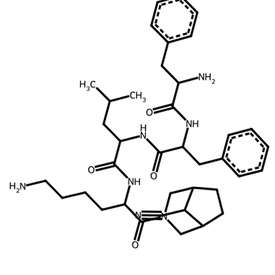 CC(C)CC(NC(=O)C(Cc1ccccc1)NC(=O)C(N)Cc1ccccc1)C(=O)NC(CCCCN)C(=O)N1CC2CCC(C1)C2C#N